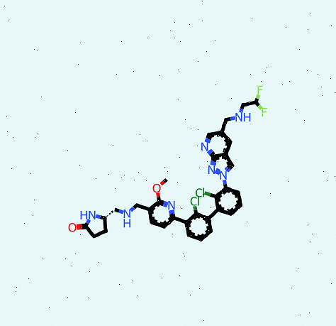 COc1nc(-c2cccc(-c3cccc(-n4cc5cc(CNCC(F)F)cnc5n4)c3Cl)c2Cl)ccc1CNC[C@@H]1CCC(=O)N1